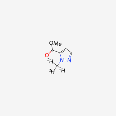 [2H]C([2H])([2H])n1nccc1C(=O)OC